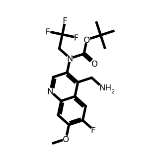 COc1cc2ncc(N(CC(F)(F)F)C(=O)OC(C)(C)C)c(CN)c2cc1F